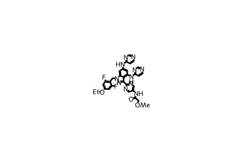 CCOc1cc(F)c(Cn2nc(-c3ncc(NC(=O)COC)cn3)c3c(Nc4ccncn4)cc(Nc4ccncn4)cc32)c(F)c1